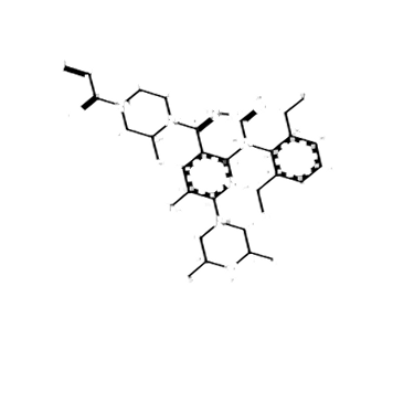 C=CC(=O)N1CCN(/C(=N/C)c2cc(Cl)c(N3CC(C)OC(C)C3)nc2N(C=O)c2c(CC)cccc2CC)C(C)C1